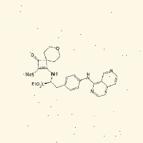 CCOC(=O)[C@H](Cc1ccc(Nc2nccc3ccncc23)cc1)NC1=C(SC)C(=O)C12CCOCC2